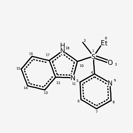 CCS(C)(=O)(c1ccccn1)c1nc2ccccc2[nH]1